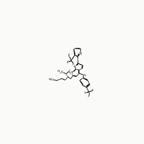 CC(C)N(CCCO)Cc1cc(Nc2ccc(C(F)(F)F)cc2)c2ccc(-c3ncccc3C(F)(F)F)nc2n1